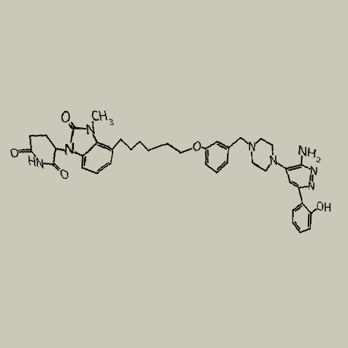 Cn1c(=O)n(C2CCC(=O)NC2=O)c2cccc(CCCCCCOc3cccc(CN4CCN(c5cc(-c6ccccc6O)nnc5N)CC4)c3)c21